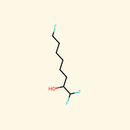 OC(CCCCCCF)C(F)F